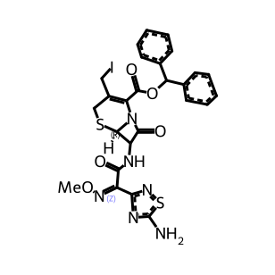 CO/N=C(\C(=O)NC1C(=O)N2C(C(=O)OC(c3ccccc3)c3ccccc3)=C(CI)CS[C@H]12)c1nsc(N)n1